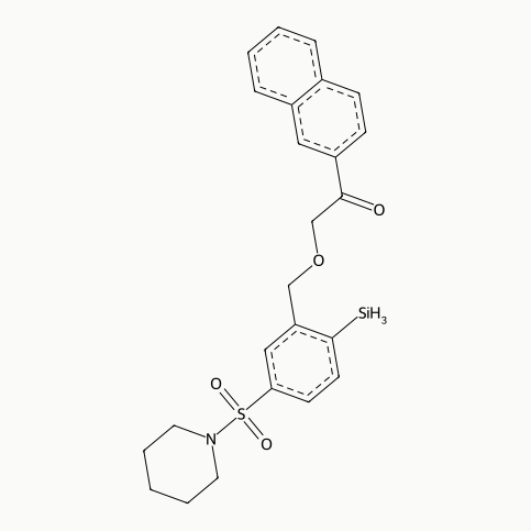 O=C(COCc1cc(S(=O)(=O)N2CCCCC2)ccc1[SiH3])c1ccc2ccccc2c1